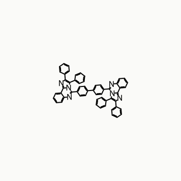 c1ccc(-c2nc3c4ccccc4nc(-c4ccc(-c5ccc(-c6nc7ccccc7c7nc(-c8ccccc8)c(-c8ccccc8)n67)cc5)cc4)n3c2-c2ccccc2)cc1